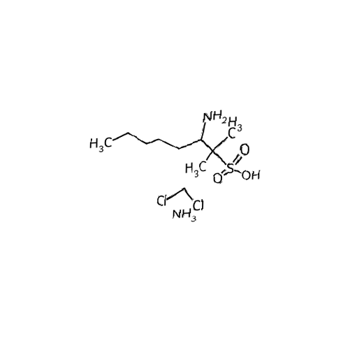 CCCCCC(N)C(C)(C)S(=O)(=O)O.ClCCl.N